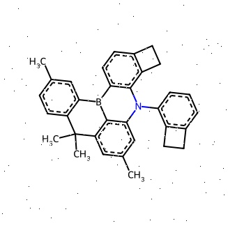 Cc1ccc2c(c1)B1c3ccc4c(c3N(c3cccc5c3CC5)c3cc(C)cc(c31)C2(C)C)CC4